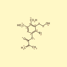 C=C(C)C(=O)Oc1cc(C(=O)O)c(C(=O)O)c(CCO)c1CC